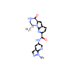 CC(C)n1ncc2cc(NC(=O)c3ccc4cc5n(c4n3)[C@H](C)CNC5=O)cnc21